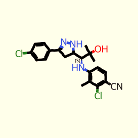 Cc1c(N[C@@H](C2CC(c3ccc(Cl)cc3)=NN2)C(C)(C)O)ccc(C#N)c1Cl